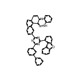 N=C1C=Cc2ccc3ccc(-c4nc(-c5cccc(-c6ccccc6)c5)nc(-c5cccc6oc7ccccc7c56)n4)cc3c2/C1=N/Nc1ccccc1